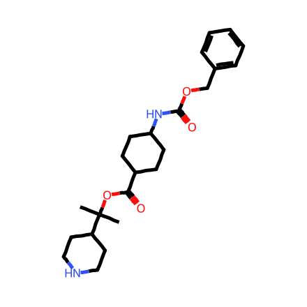 CC(C)(OC(=O)C1CCC(NC(=O)OCc2ccccc2)CC1)C1CCNCC1